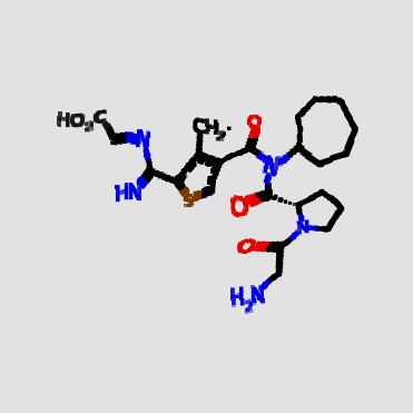 [CH2]c1c(C(=O)N(C(=O)[C@@H]2CCCN2C(=O)CN)C2CCCCCC2)csc1C(=N)N=CC(=O)O